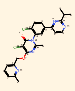 Cc1cccc(COc2nc(C)n(-c3cc(-c4ccnc(C(C)C)n4)ccc3Cl)c(=O)c2Cl)n1